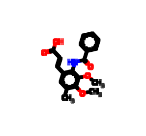 COc1c(C)cc(C=CC(=O)O)c(NC(=O)c2ccccc2)c1OC